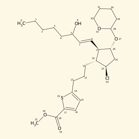 CCCCCC(O)C=C[C@@H]1[C@@H](CCCc2ccc(C(=O)OC)s2)[C@H](Cl)C[C@H]1OC1CCCCO1